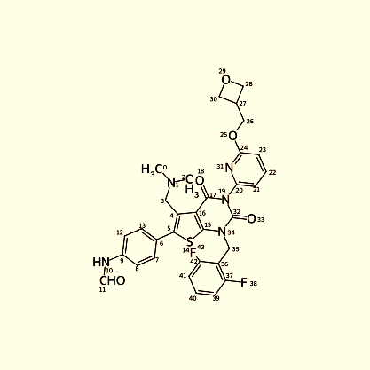 CN(C)Cc1c(-c2ccc(NC=O)cc2)sc2c1c(=O)n(-c1cccc(OCC3COC3)n1)c(=O)n2Cc1c(F)cccc1F